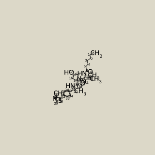 C=CCCCCC(=O)N[C@H](C(=O)N1C[C@H](O)C[C@H]1C(=O)N[C@@H](C)c1ccc(-c2scnc2C)cc1)C(C)(C)C